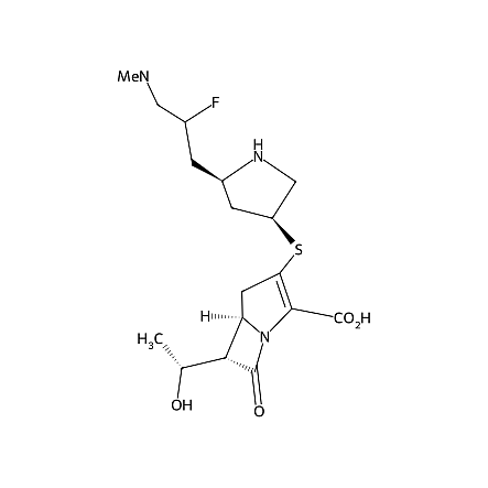 CNCC(F)C[C@@H]1C[C@H](SC2=C(C(=O)O)N3C(=O)[C@H]([C@@H](C)O)[C@H]3C2)CN1